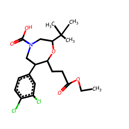 CCOC(=O)CCC1OC(C(C)(C)C)CN(C(=O)O)CC1c1ccc(Cl)c(Cl)c1